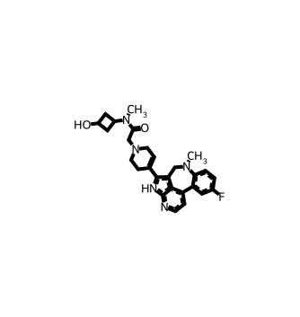 CN1Cc2c(C3=CCN(CC(=O)N(C)C4CC(O)C4)CC3)[nH]c3nccc(c23)-c2cc(F)ccc21